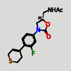 CC(=O)NC[C@H]1CN(c2ccc(C3=CCSCC3)c(F)c2)C(=O)O1